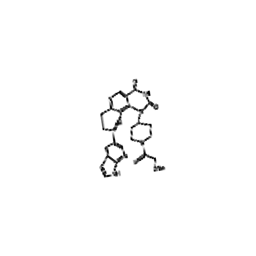 COCC(=S)N1CCC(n2c(=O)[nH]c(=O)c3cnc4ccc(-c5cnc6[nH]ccc6c5)nc4c32)CC1